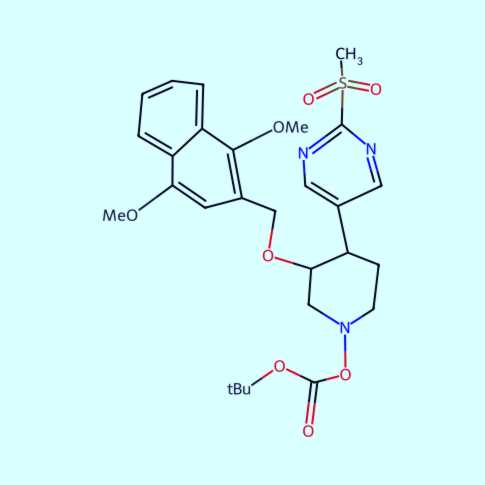 COc1cc(COC2CN(OC(=O)OC(C)(C)C)CCC2c2cnc(S(C)(=O)=O)nc2)c(OC)c2ccccc12